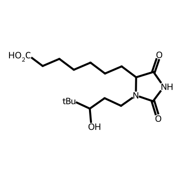 CC(C)(C)C(O)CCN1C(=O)NC(=O)C1CCCCCCC(=O)O